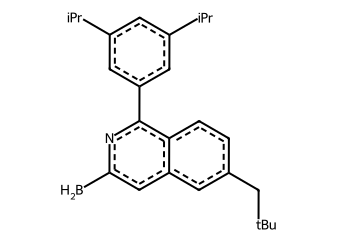 Bc1cc2cc(CC(C)(C)C)ccc2c(-c2cc(C(C)C)cc(C(C)C)c2)n1